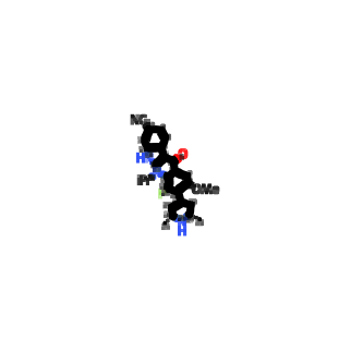 COc1cc2c(=O)c3c4ccc(C#N)cc4[nH]c3n(C(C)C)c2c(F)c1C1=C[C@@H](C)N[C@@H](C)C1